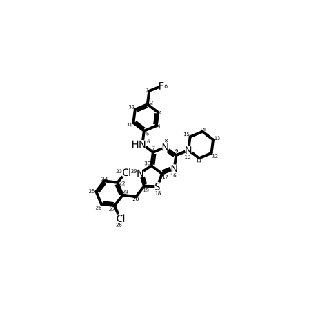 FCc1ccc(Nc2nc(N3CCCCC3)nc3sc(Cc4c(Cl)cccc4Cl)nc23)cc1